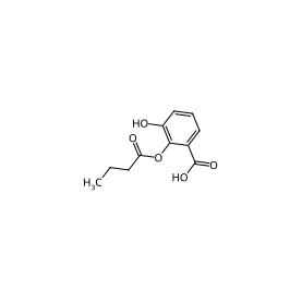 CCCC(=O)Oc1c(O)cccc1C(=O)O